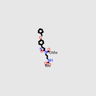 COC(=O)N(CCCNC(=O)OC(C)(C)C)c1cc(-c2ccc(OCc3ccccc3)cc2)no1